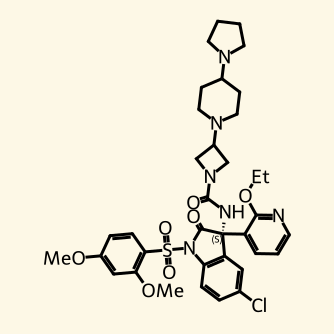 CCOc1ncccc1[C@]1(NC(=O)N2CC(N3CCC(N4CCCC4)CC3)C2)C(=O)N(S(=O)(=O)c2ccc(OC)cc2OC)c2ccc(Cl)cc21